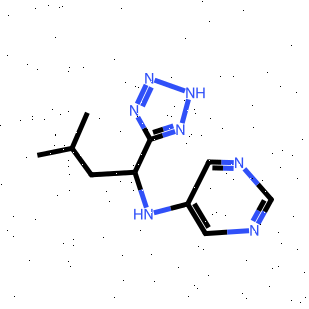 CC(C)CC(Nc1cncnc1)c1nn[nH]n1